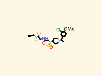 C#CCNC(=O)CNC(=O)CN(C1CCN(C(C)c2ccc(OC)c(Cl)c2)CC1)[S+](C)[O-]